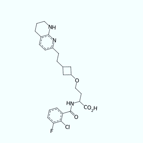 O=C(NC(CCOC1CC(CCc2ccc3c(n2)NCCC3)C1)C(=O)O)c1cccc(F)c1Cl